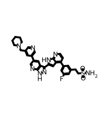 NS(=O)(=O)CCc1cc(F)cc(-c2ccnc3[nH]c(-c4n[nH]c5ncc(-c6cncc(CN7CCCCC7)c6)cc45)cc23)c1